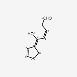 O=CC/C=C\C(O)=C1\C=CSC1